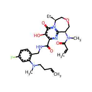 C=CCCN(C)c1cc(F)ccc1CNC(=O)c1nc2n(c(=O)c1O)[C@@H](CC)COC[C@H]2N(C)C(=O)C=C